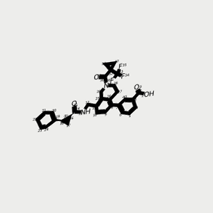 O=C(O)c1cccc(-c2ccc(CNC(=O)[C@@H]3C[C@H]3c3ccccc3)c3c2CCN(C(=O)C2(C(F)(F)F)CC2)C3)c1